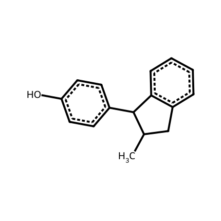 CC1Cc2ccccc2C1c1ccc(O)cc1